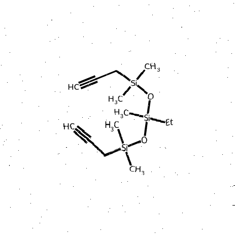 C#CC[Si](C)(C)O[Si](C)(CC)O[Si](C)(C)CC#C